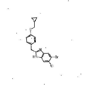 Clc1cc2[nH]c(Cc3ccc(SCC4CC4)cc3)nc2cc1Br